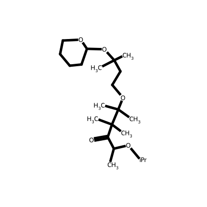 CC(C)OC(C)C(=O)C(C)(C)C(C)(C)OCCC(C)(C)OC1CCCCO1